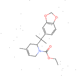 CCOC(=O)N1CC=C(C)CC1C(C)(C)c1ccc2c(c1)OCO2